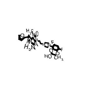 CC(Oc1cc(N2CCN(CCn3c(=O)n(C)c4c3nc(N)n3nc(-c5ccco5)cc43)CC2)c(F)cc1F)C(=O)O